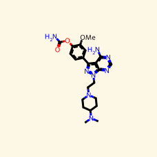 COc1cc(-c2nn(CCN3CCC(N(C)C)CC3)c3ncnc(N)c23)ccc1OC(N)=O